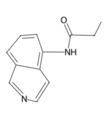 CCC(=O)Nc1cccc2cnccc12